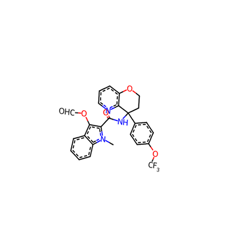 Cn1c(C(=O)NC2(c3ccc(OC(F)(F)F)cc3)CCOc3cccnc32)c(OC=O)c2ccccc21